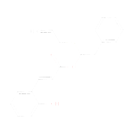 C=CCSC(Cc1ccccc1)OC(=O)C=Cc1ccccc1O